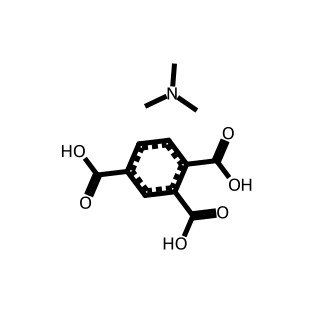 CN(C)C.O=C(O)c1ccc(C(=O)O)c(C(=O)O)c1